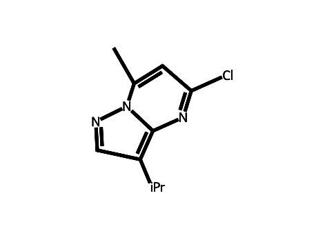 Cc1cc(Cl)nc2c(C(C)C)cnn12